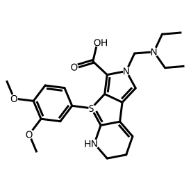 CCN(CC)Cn1cc2c(c1C(=O)O)S(c1ccc(OC)c(OC)c1)=C1NCCC=C12